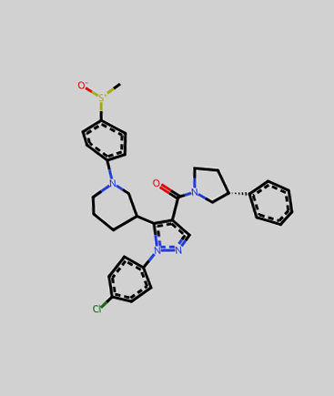 C[S+]([O-])c1ccc(N2CCCC(c3c(C(=O)N4CC[C@H](c5ccccc5)C4)cnn3-c3ccc(Cl)cc3)C2)cc1